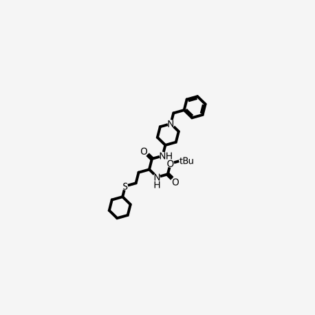 CC(C)(C)OC(=O)NC(CCSC1CCCCC1)C(=O)NC1CCN(Cc2ccccc2)CC1